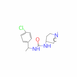 CC(NC(=O)NC1CCN(C)CC1)c1ccc(Cl)cc1